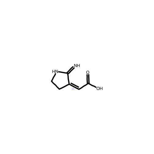 N=C1NCC/C1=C/C(=O)O